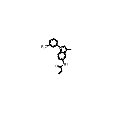 C=CC(=O)Nc1cnc2c(c1)c(C)cn2-c1cccc(C(F)(F)F)c1